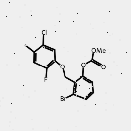 COC(=O)Oc1cccc(Br)c1COc1cc(Cl)c(C)cc1F